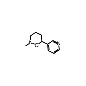 CN1CCCC(c2cccnc2)O1